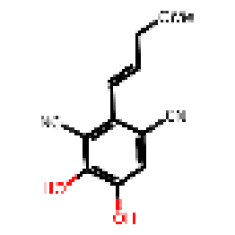 COC/C=C/c1c(C#N)cc(O)c(O)c1C#N